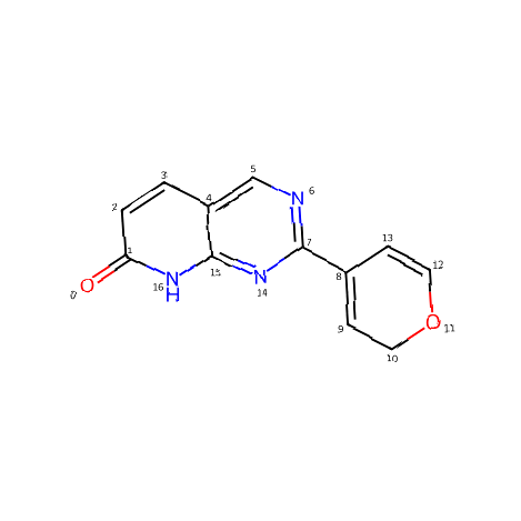 O=c1ccc2cnc(C3=CCOC=C3)nc2[nH]1